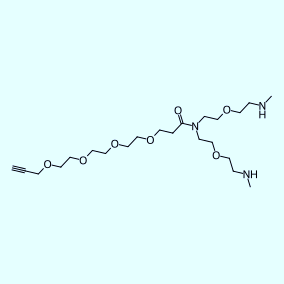 C#CCOCCOCCOCCOCCC(=O)N(CCOCCNC)CCOCCNC